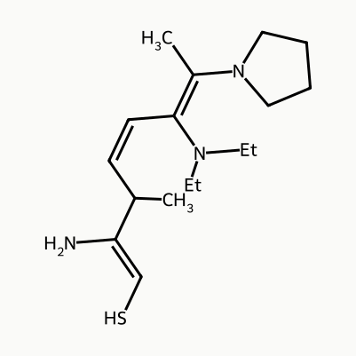 CCN(CC)C(/C=C\C(C)/C(N)=C/S)=C(/C)N1CCCC1